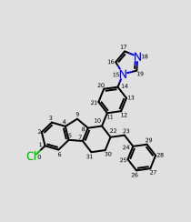 Clc1ccc2c(c1)C1=C(C2)C(c2ccc(-n3ccnc3)cc2)C(Cc2ccccc2)CC1